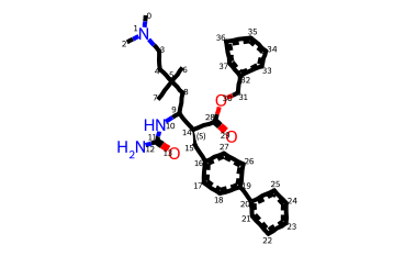 CN(C)CCC(C)(C)CC(NC(N)=O)[C@H](Cc1ccc(-c2ccccc2)cc1)C(=O)OCc1ccccc1